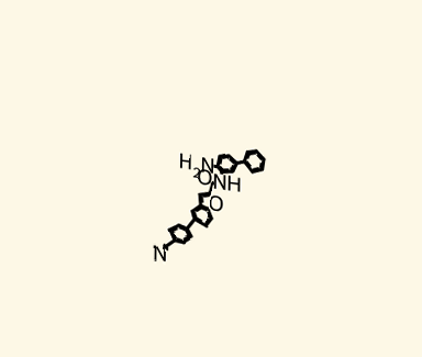 N#Cc1ccc(-c2ccc3oc(C(=O)Nc4cc(-c5ccccc5)ccc4N)cc3c2)cc1